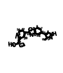 Cc1n[nH]cc1-c1ccc2oc(-c3ccnc(C(=O)O)c3)nc2c1